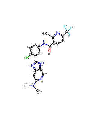 Cc1nc(C(F)(F)F)ccc1C(=O)Nc1ccc(Cl)c(-c2nc3cc(N(C)C)ncc3[nH]2)c1